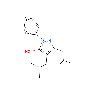 CC(C)Cc1nn(-c2ccccc2)c(O)c1CC(C)C